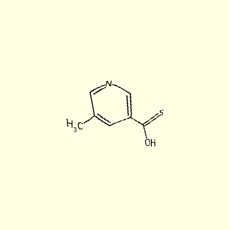 Cc1cncc(C(O)=S)c1